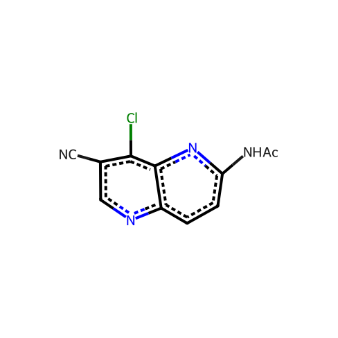 CC(=O)Nc1ccc2ncc(C#N)c(Cl)c2n1